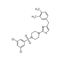 Cc1ccc(Cc2csc(N3CCN(S(=O)(=O)c4cc(Cl)cc(Cl)c4)CC3)n2)cc1C